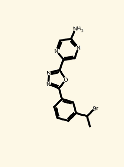 CC(Br)c1cccc(-c2nnc(-c3cnc(N)cn3)o2)c1